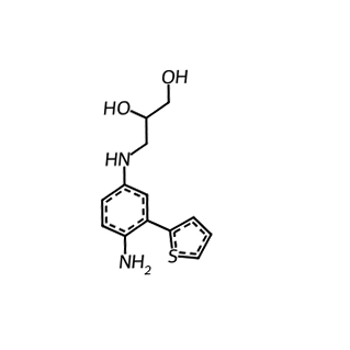 Nc1ccc(NCC(O)CO)cc1-c1cccs1